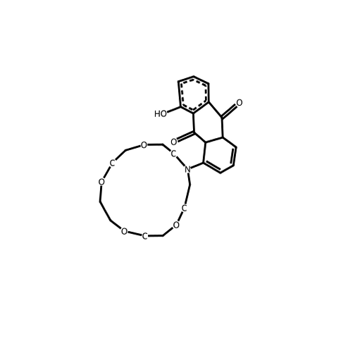 O=C1c2cccc(O)c2C(=O)C2C(N3CCOCCOCCOCCOCC3)=CC=CC12